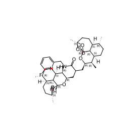 C[C@H]1[C@@H](CC(C[C@H]2O[C@@H]3O[C@]4(C)CC[C@H]5[C@H](C)CC[C@@H]([C@H]2C)[C@@]35OO4)C(=O)NCc2cccc(F)n2)O[C@@H]2O[C@]3(C)CC[C@H]4[C@H](C)CC[C@@H]1[C@@]24OO3